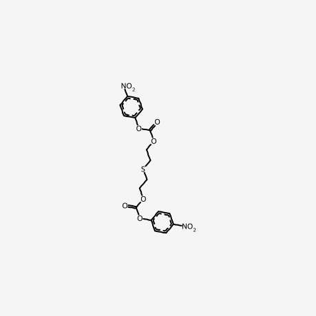 O=C(OCCSCCOC(=O)Oc1ccc([N+](=O)[O-])cc1)Oc1ccc([N+](=O)[O-])cc1